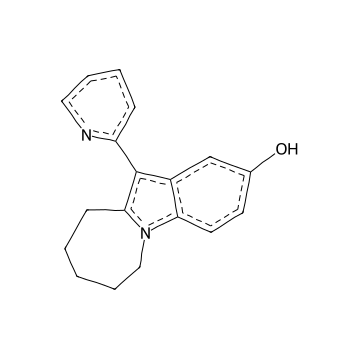 Oc1ccc2c(c1)c(-c1ccccn1)c1n2CCCCC1